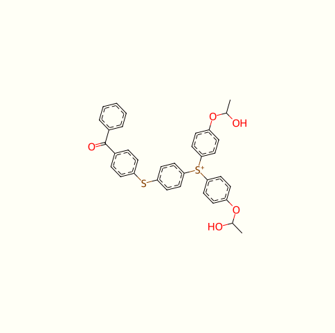 CC(O)Oc1ccc([S+](c2ccc(OC(C)O)cc2)c2ccc(Sc3ccc(C(=O)c4ccccc4)cc3)cc2)cc1